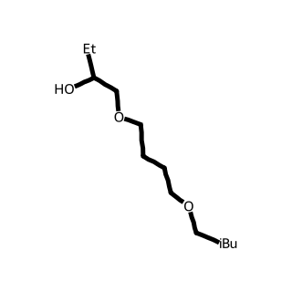 CCC(C)COCCCCOCC(O)CC